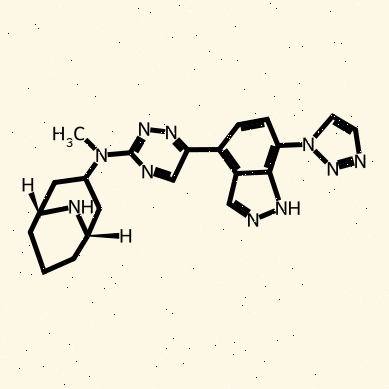 CN(c1ncc(-c2ccc(-n3ccnn3)c3[nH]ncc23)nn1)C1C[C@H]2CCC[C@@H](C1)N2